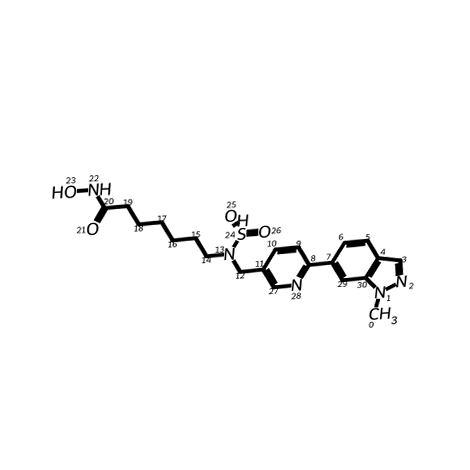 Cn1ncc2ccc(-c3ccc(CN(CCCCCCC(=O)NO)[SH](=O)=O)cn3)cc21